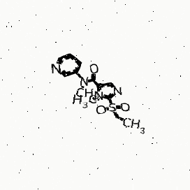 CCS(=O)(=O)c1ncc(C(=O)N(C)c2cccnc2)n1C